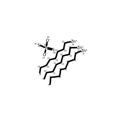 CCCCCCC[CH2][Zn+].CCCCCCC[CH2][Zn+].CCCCCCC[CH2][Zn+].[O-]P([O-])(=S)[S-]